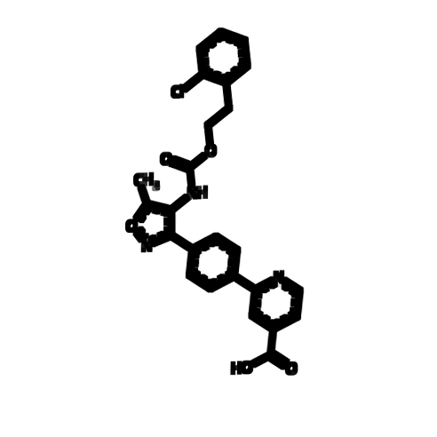 Cc1onc(-c2ccc(-c3cc(C(=O)O)ccn3)cc2)c1NC(=O)OCCc1ccccc1Cl